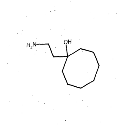 NCCC1(O)CCCCCCC1